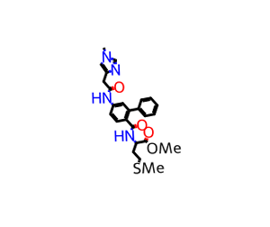 COC(=O)C(CCSC)NC(=O)c1ccc(NC(=O)Cc2cn(C)cn2)cc1-c1ccccc1